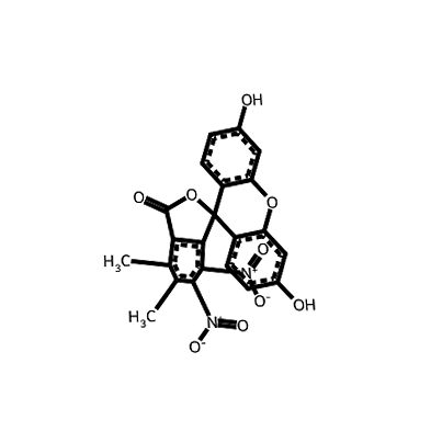 Cc1c(C)c([N+](=O)[O-])c([N+](=O)[O-])c2c1C(=O)OC21c2ccc(O)cc2Oc2cc(O)ccc21